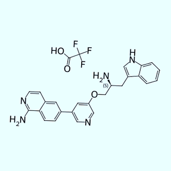 Nc1nccc2cc(-c3cncc(OC[C@@H](N)Cc4c[nH]c5ccccc45)c3)ccc12.O=C(O)C(F)(F)F